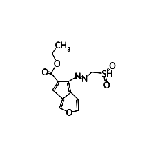 CCOC(=O)c1cc2coccc-2c1N=NC[SH](=O)=O